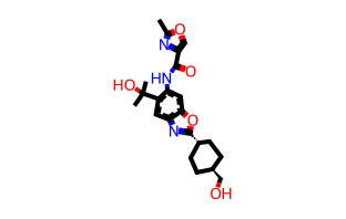 Cc1nc(C(=O)Nc2cc3oc([C@H]4CC[C@H](CO)CC4)nc3cc2C(C)(C)O)co1